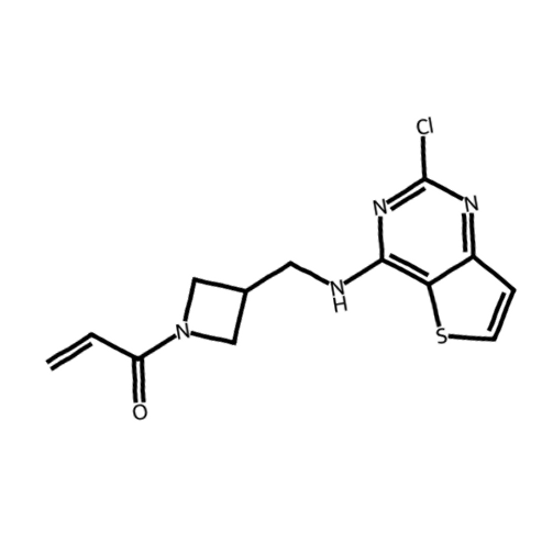 C=CC(=O)N1CC(CNc2nc(Cl)nc3ccsc23)C1